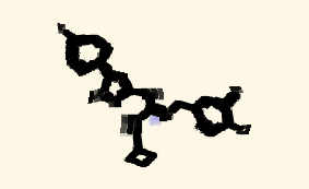 Fc1ccc(-c2cc(N/C(=N\Cc3ccc(Cl)c(F)c3)NC3CCC3)n[nH]2)cc1